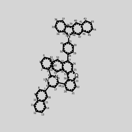 c1ccc(-c2nc(-c3ccc4ccccc4c3)cc(-c3cccc4oc5cc(-c6ccc(-n7c8ccccc8c8cc9ccccc9cc87)cc6)c6ccccc6c5c34)n2)cc1